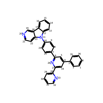 c1ccc(-c2cc(-c3ccc(-n4c5ccccc5c5cnccc54)cc3)nc(-c3ccccn3)c2)cc1